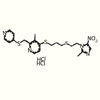 Cc1c(SCCCSCCn2c([N+](=O)[O-])cnc2C)ccnc1CSc1ccncc1.Cl.Cl